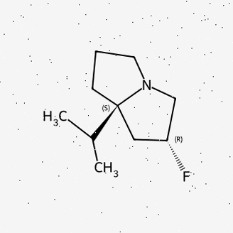 CC(C)[C@@]12CCCN1C[C@H](F)C2